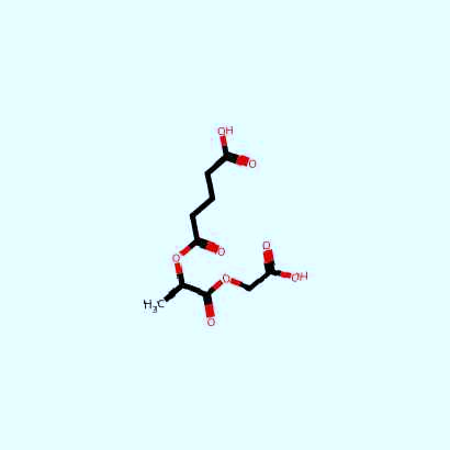 CC(OC(=O)CCCC(=O)O)C(=O)OCC(=O)O